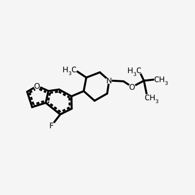 CC1CN(COC(C)(C)C)CCC1c1cc(F)c2ccoc2c1